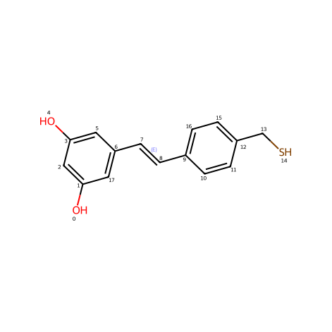 Oc1cc(O)cc(/C=C/c2ccc(CS)cc2)c1